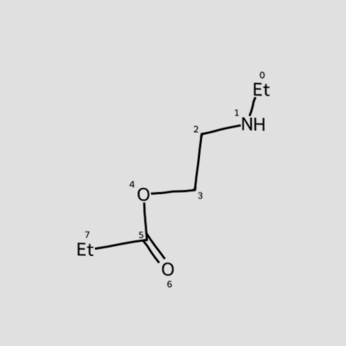 CCNCCOC(=O)CC